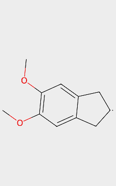 COc1cc2c(cc1OC)C[CH]C2